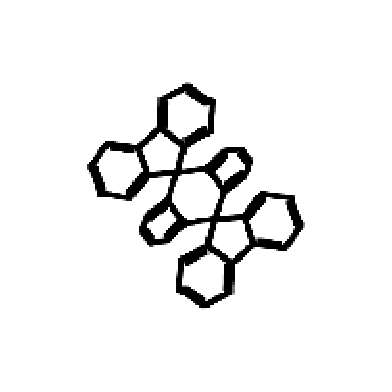 c1ccc2c(c1)-c1ccccc1C21c2ccccc2C2(c3ccccc3-c3ccccc32)c2ccccc21